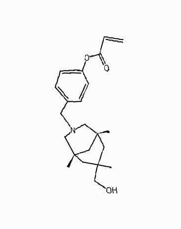 C=CC(=O)Oc1ccc(CN2C[C@@]3(C)CC(C)(CO)C[C@@](C)(C2)C3)cc1